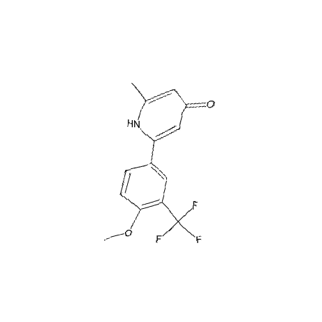 COc1ccc(-c2cc(=O)cc(C)[nH]2)cc1C(F)(F)F